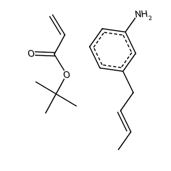 C=CC(=O)OC(C)(C)C.CC=CCc1cccc(N)c1